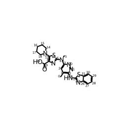 Cc1cc(N(C)c2nc(C(=O)O)c(N3CCCCC3)s2)nnc1Nc1nc2ccccc2s1